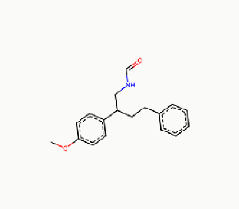 COc1ccc(C(CCc2ccccc2)CNC=O)cc1